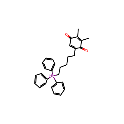 CC1=C(C)C(=O)C(CCCCC[PH](c2ccccc2)(c2ccccc2)c2ccccc2)=CC1=O